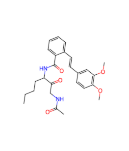 CCCCC(NC(=O)c1ccccc1C=Cc1ccc(OC)c(OC)c1)C(=O)CNC(C)=O